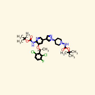 C[C@@H](Oc1cc(-c2cnn(C3CCN(NC(=O)OC(C)(C)C)CC3)c2)cnc1NC(=O)OC(C)(C)C)c1c(Cl)ccc(F)c1Cl